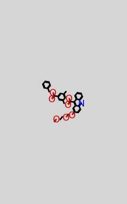 COCCOCOc1ccc2nc3ccccc3c(C(=O)Oc3c(C)cc(C(=O)OCc4ccccc4)cc3C)c2c1